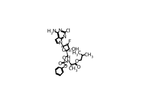 CC(C)COC(=O)[C@H](C)NP(=O)(OC[C@H]1O[C@@H](n2ccc3c(N)nc(Cl)nc32)[C@@H](F)[C@@H]1O)Oc1ccccc1